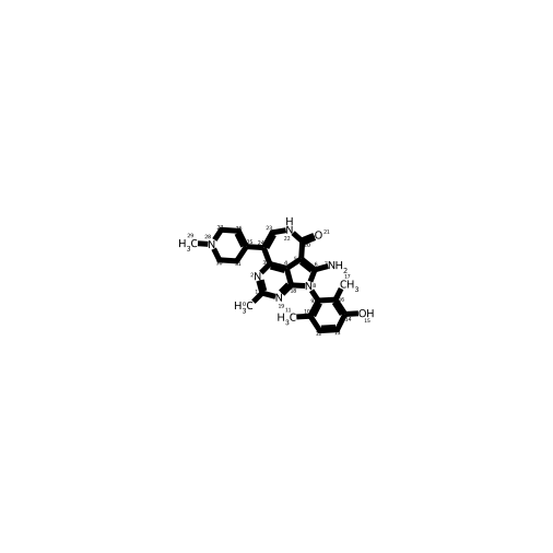 Cc1nc2c3c(c(N)n(-c4c(C)ccc(O)c4C)c3n1)C(=O)NC=C2C1=CCN(C)CC1